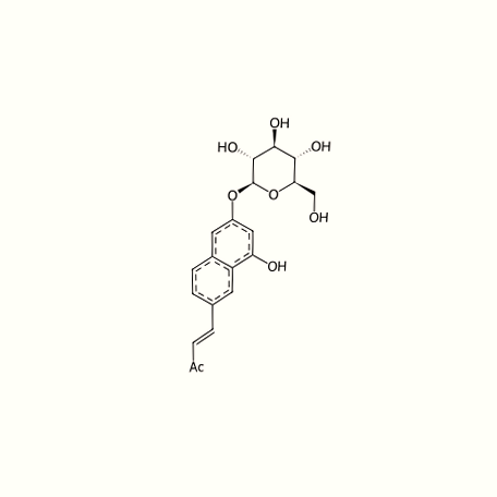 CC(=O)C=Cc1ccc2cc(O[C@@H]3O[C@H](CO)[C@@H](O)[C@H](O)[C@H]3O)cc(O)c2c1